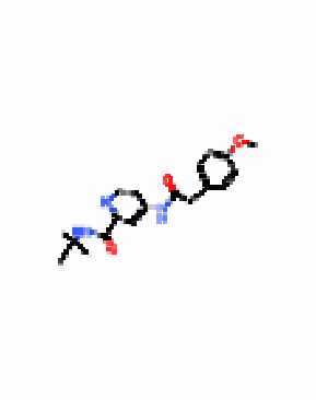 COc1ccc(CC(=O)Nc2ccnc(C(=O)NC(C)(C)C)c2)cc1